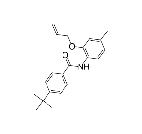 C=CCOc1cc(C)ccc1NC(=O)c1ccc(C(C)(C)C)cc1